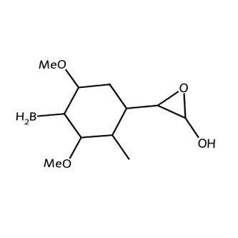 BC1C(OC)CC(C2OC2O)C(C)C1OC